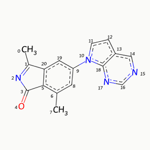 CC1=NC(=O)c2c(C)cc(-n3ccc4cncnc43)cc21